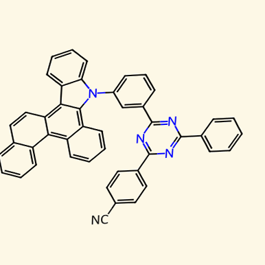 N#Cc1ccc(-c2nc(-c3ccccc3)nc(-c3cccc(-n4c5ccccc5c5c6ccc7ccccc7c6c6ccccc6c54)c3)n2)cc1